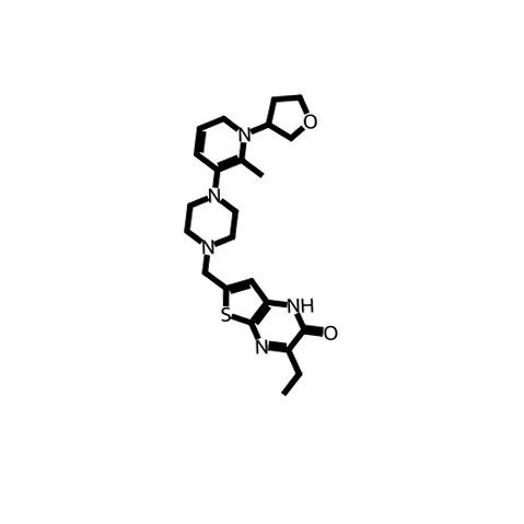 CCc1nc2sc(CN3CCN(C4=C(C)N(C5CCOC5)CC=C4)CC3)cc2[nH]c1=O